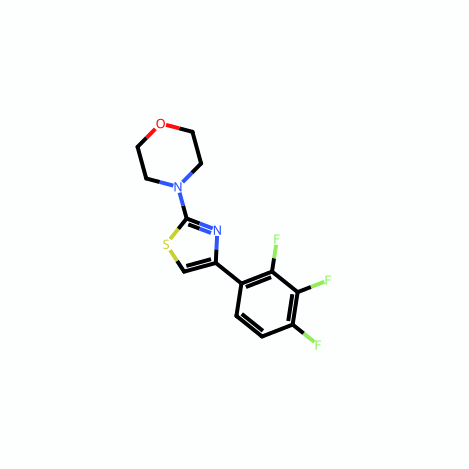 Fc1ccc(-c2csc(N3CCOCC3)n2)c(F)c1F